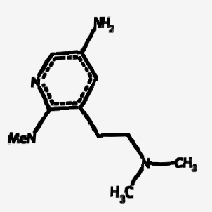 CNc1ncc(N)cc1CCN(C)C